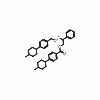 CC1CCC(c2ccc(COOC(COC(=O)c3ccc(C4CCC(C)CC4)cc3)c3ccccc3)cc2)CC1